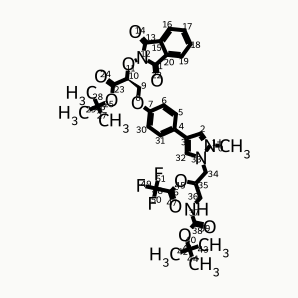 C[n+]1cc(-c2ccc(OC[C@H](ON3C(=O)c4ccccc4C3=O)C(=O)OC(C)(C)C)cc2)cn1CC(CNC(=O)OC(C)(C)C)OC(=O)C(F)(F)F